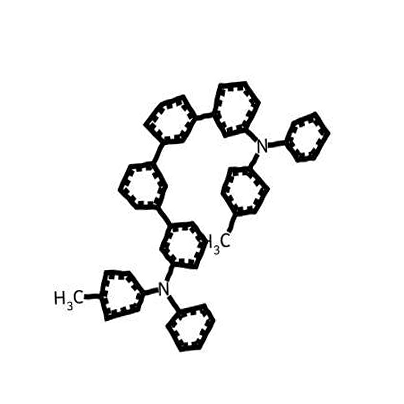 Cc1ccc(N(c2ccccc2)c2cccc(-c3cccc(-c4cccc(-c5cccc(N(c6ccccc6)c6ccc(C)cc6)c5)c4)c3)c2)cc1